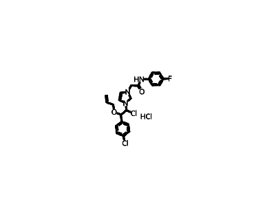 C=CCOC(c1ccc(Cl)cc1)C(Cl)N1C=CN(CC(=O)Nc2ccc(F)cc2)C1.Cl